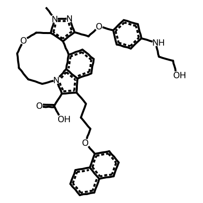 Cn1nc(COc2ccc(NCCO)cc2)c2c1COCCCCn1c(C(=O)O)c(CCCOc3cccc4ccccc34)c3cccc-2c31